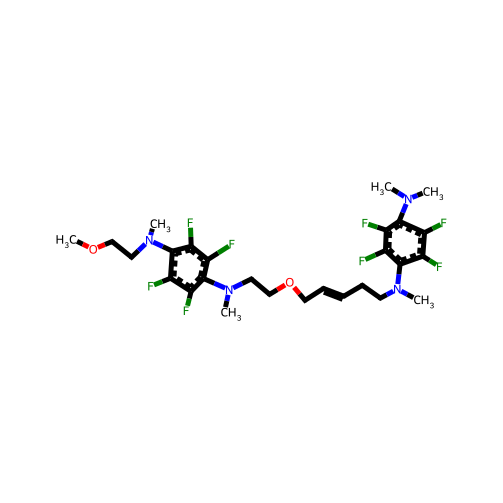 COCCN(C)c1c(F)c(F)c(N(C)CCOC/C=C/CCN(C)c2c(F)c(F)c(N(C)C)c(F)c2F)c(F)c1F